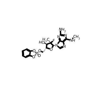 CNc1nc(N)nc2c1ncn2[C@@H]1O[C@H](COP2(=O)Oc3ccccc3O2)[C@@H](O)[C@@]1(C)F